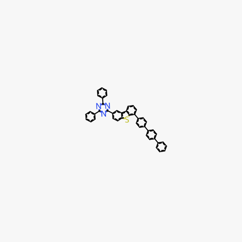 c1ccc(-c2ccc(-c3ccc(-c4cccc5c4sc4ccc(-c6nc(-c7ccccc7)nc(-c7ccccc7)n6)cc45)cc3)cc2)cc1